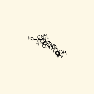 CC[C@H]1CN(c2nc(N)c(C(=O)NCCO)nc2Cl)CCN1C1CCN(Cc2c(F)cc(F)c(F)c2O)CC1